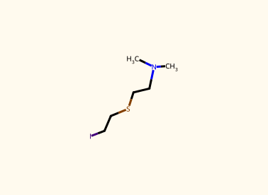 CN(C)CCSCCI